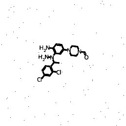 CC(c1ccc(Cl)cc1Cl)N(N)c1cc(N2CCN(C=O)CC2)ccc1N